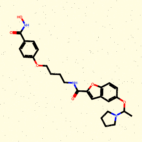 CC(Oc1ccc2oc(C(=O)NCCCCOc3ccc(C(=O)NO)cc3)cc2c1)N1CCCC1